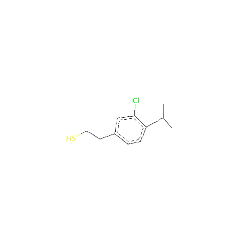 CC(C)c1ccc(CCS)cc1Cl